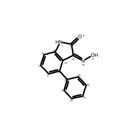 O=C1Nc2cccc(-c3ccccc3)c2C1=NO